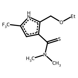 CCOCc1[nH]c(C(F)(F)F)cc1C(=S)N(C)C